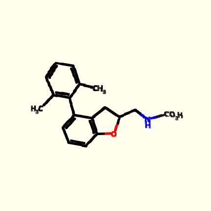 Cc1cccc(C)c1-c1cccc2c1CC(CNC(=O)O)O2